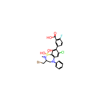 CN1C(CBr)CN(c2ccccc2)c2cc(Cl)c(-c3ccc(F)c(C(=O)O)c3)cc2S1(O)O